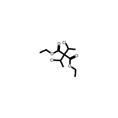 CCOC(=O)C(C(=O)OCC)(C(C)Cl)C(C)Cl